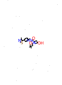 Cc1ncsc1-c1ccc(CNC(=O)[C@@H]2C[C@@H](O)CN2C(=O)[CH]C(C)(C)C)cc1